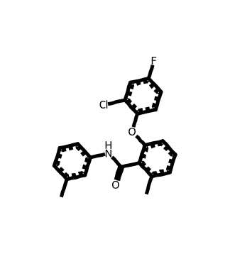 Cc1cccc(NC(=O)c2c(C)cccc2Oc2ccc(F)cc2Cl)c1